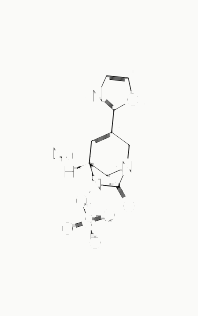 O=C1N2CC(c3ncco3)=C[C@H](C2)N1OS(=O)(=O)[O-].[Na+]